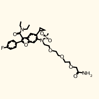 CCN(CC)C(=O)c1c(-c2ccc(F)cc2)oc2cc(N(CCOCCOCCOCC(N)=O)S(C)(=O)=O)c(C3CC3)cc12